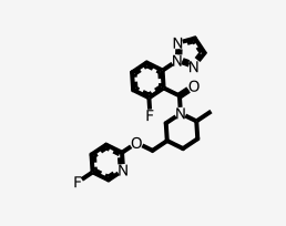 CC1CCC(COc2ccc(F)cn2)CN1C(=O)c1c(F)cccc1-n1nccn1